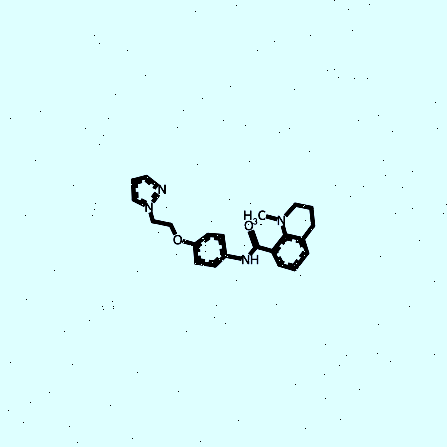 CN1CCCc2cccc(C(=O)Nc3ccc(OCCn4cccn4)cc3)c21